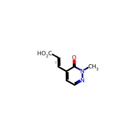 Cn1nccc(/C=C/C(=O)O)c1=O